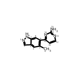 Cc1cc2cn[nH]c2cc1-c1ccnc(N)n1